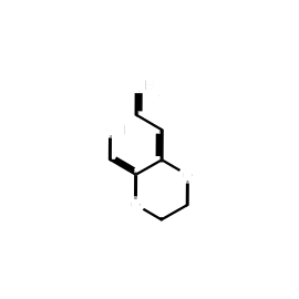 C=C/C=C1/OCCO/C1=C/C